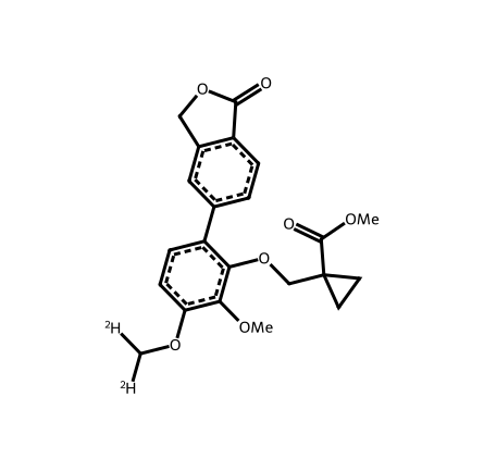 [2H]C([2H])Oc1ccc(-c2ccc3c(c2)COC3=O)c(OCC2(C(=O)OC)CC2)c1OC